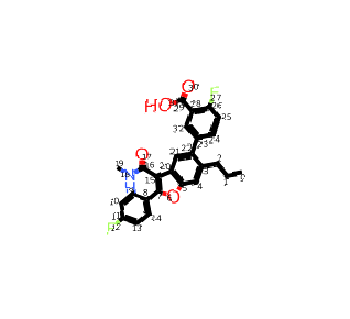 CCCc1cc2oc(-c3ccc(F)cc3)c(C(=O)NC)c2cc1-c1ccc(F)c(C(=O)O)c1